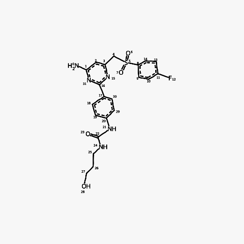 Nc1cc(CS(=O)(=O)c2ccc(F)cc2)nc(-c2ccc(NC(=O)NCCCO)cc2)n1